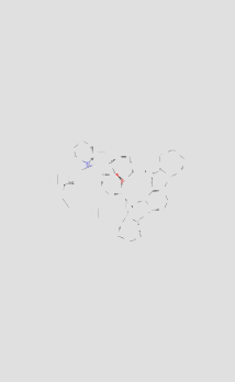 C/C=C(/C)c1ccc(-n2c3ccccc3c3ccc4c5ccccc5n(-c5ccc(-c6ccccc6)cc5)c4c32)cc1C1C=CC=CC1C